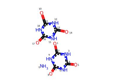 N.O=c1[nH]c(=O)[nH]c(=O)[nH]1.O=c1[nH]c(=O)[nH]c(=O)[nH]1